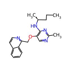 CCC[C@H](C)Nc1nc(C)ncc1OCc1nccc2ccccc12